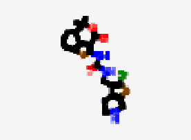 CC1(C)OC(=O)c2c(NC(=O)NCc3c(Br)sc4c3CCNC4)sc3c2C1CCC3